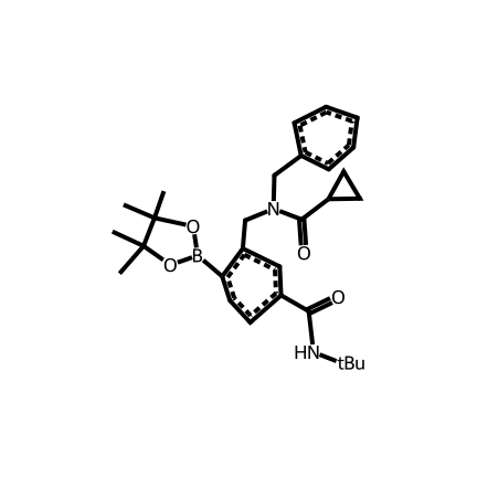 CC(C)(C)NC(=O)c1ccc(B2OC(C)(C)C(C)(C)O2)c(CN(Cc2ccccc2)C(=O)C2CC2)c1